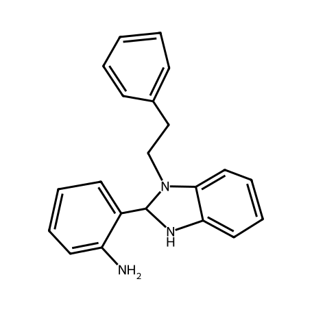 Nc1ccccc1C1Nc2ccccc2N1CCc1ccccc1